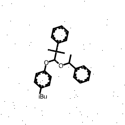 CCC(C)c1ccc(OC(OC(C)c2ccccc2)C(C)(C)c2ccccc2)cc1